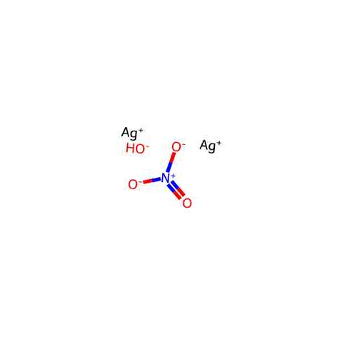 O=[N+]([O-])[O-].[Ag+].[Ag+].[OH-]